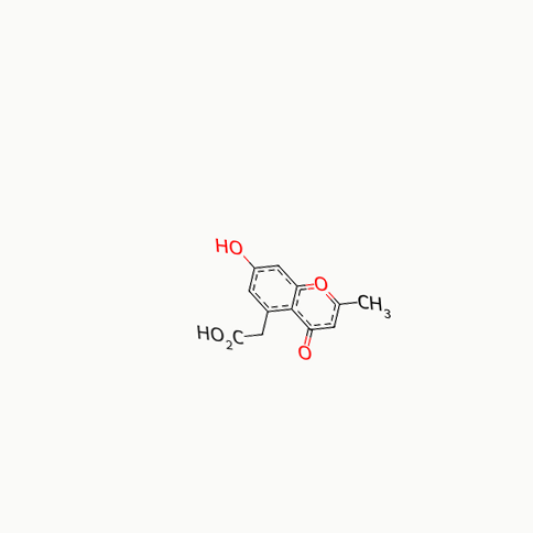 Cc1cc(=O)c2c(CC(=O)O)cc(O)cc2o1